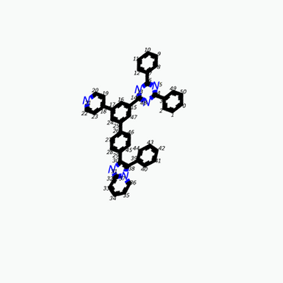 c1ccc(-c2nc(-c3ccccc3)nc(-c3cc(-c4ccncc4)cc(-c4ccc(-c5nc6ccccn6c5-c5ccccc5)cc4)c3)n2)cc1